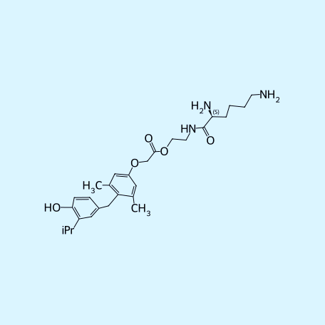 Cc1cc(OCC(=O)OCCNC(=O)[C@@H](N)CCCCN)cc(C)c1Cc1ccc(O)c(C(C)C)c1